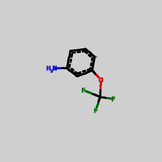 Nc1cc[c]c(OC(F)(F)F)c1